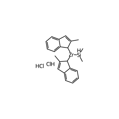 CC1=Cc2ccccc2[CH]1[Zr]([CH]1C(C)=Cc2ccccc21)[SiH](C)C.Cl.Cl